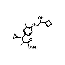 COC(=O)[C@@H](C)[C@H](c1ccc(OCC(O)C2CCC2)c(I)c1)C1CC1